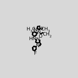 C=CC(=O)Nc1cc(Nc2cc3c(ccn3-c3cccc(F)c3)cn2)ccc1N(C)C1CCN(C)C1